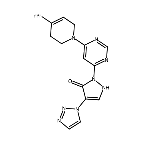 CCCC1=CCN(c2cc(-n3[nH]cc(-n4ccnn4)c3=O)ncn2)CC1